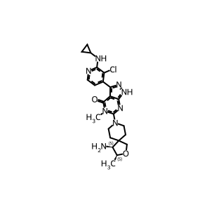 C[C@@H]1OCC2(CCN(c3nc4[nH]nc(-c5ccnc(NC6CC6)c5Cl)c4c(=O)n3C)CC2)[C@@H]1N